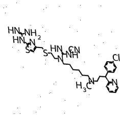 CN(CCCCCCN(CCSCc1csc(NC(=N)N)n1)C(=N)NC#N)CCC(c1ccc(Cl)cc1)c1ccccn1